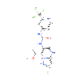 COC(C)c1c(NC(=O)Nc2ccnc(C(F)(F)F)c2)cnc2cc(F)nn12